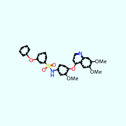 COc1cc2nccc(Oc3ccc(NS(=O)(=O)c4cccc(Oc5ccccc5)c4)cc3OC)c2cc1OC